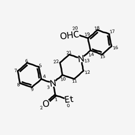 CCC(=O)N(c1ccccc1)C1CCN(c2ccccc2C=O)CC1